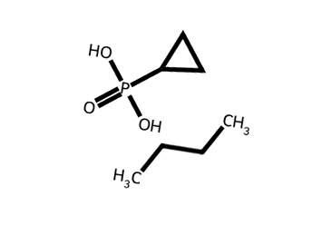 CCCC.O=P(O)(O)C1CC1